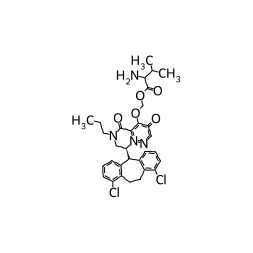 CCCN1C[C@H](C2c3cccc(Cl)c3CCc3c(Cl)cccc32)n2ncc(=O)c(OCOC(=O)C(N)C(C)C)c2C1=O